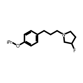 CC(C)Oc1ccc(CCCN2CCC(F)C2)cc1